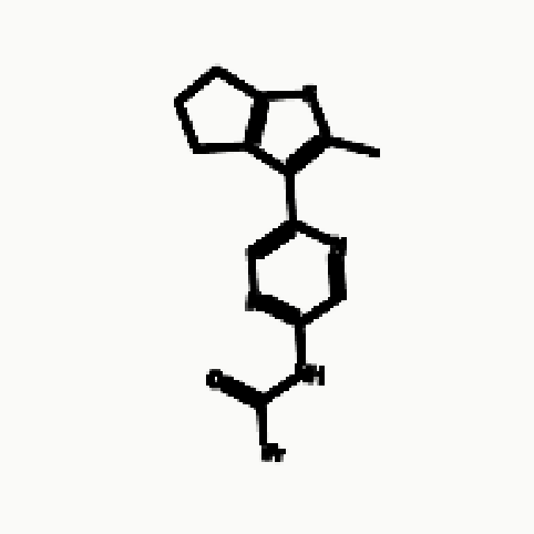 Cc1sc2c(c1-c1cnc(NC(=O)C(C)C)cn1)CCC2